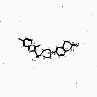 Cc1ccn2c(C)c(C(=O)N3CCN(c4ccc5c(c4)CCC(=O)N5)CC3)nc2c1